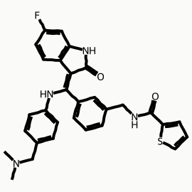 CN(C)Cc1ccc(NC(=C2C(=O)Nc3cc(F)ccc32)c2cccc(CNC(=O)c3cccs3)c2)cc1